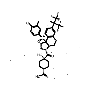 Cc1cc(S(=O)(=O)C23CCN(C(=O)[C@]4(O)CC[C@@H](C(=O)O)CC4)C2CCc2cc(C(F)(C(F)(F)F)C(F)(F)F)ccc23)ccc1Cl